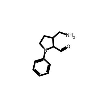 NCC1CCN(c2ccccc2)C1C=O